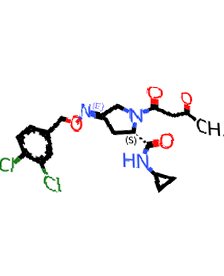 CC(=O)CC(=O)N1C/C(=N/OCc2ccc(Cl)c(Cl)c2)C[C@H]1C(=O)NC1CC1